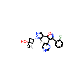 Cc1c(-c2onc(-c3ccccc3Cl)c2-c2ccncn2)cnn1[C@H]1C[C@@](C)(O)C1